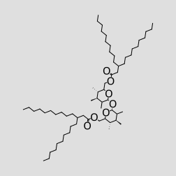 CCCCCCCCCCC(CCCCCCCCCC)CC(=O)OCC1O[C@H](O[C@H]2OC(COC(=O)CC(CCCCCCCCCC)CCCCCCCCCC)[C@@H](C)[C@H](C)C2C)C(C)[C@@H](C)[C@@H]1C